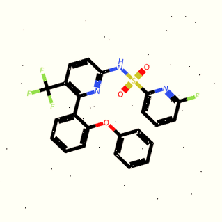 O=S(=O)(Nc1ccc(C(F)(F)F)c(-c2ccccc2Oc2ccccc2)n1)c1cccc(F)n1